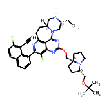 C#Cc1c(F)ccc2cccc(-c3nc4c5c(nc(OC[C@@]67CCCN6[C@H](COC(C)(C)C)CC7)nc5c3F)N3C[C@@H](CC)NC[C@H]3CC4)c12